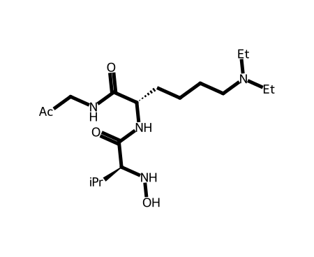 CCN(CC)CCCC[C@H](NC(=O)[C@@H](NO)C(C)C)C(=O)NCC(C)=O